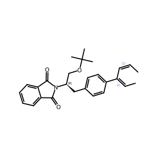 C/C=C\C(=C/C)c1ccc(C[C@H](COC(C)(C)C)N2C(=O)c3ccccc3C2=O)cc1